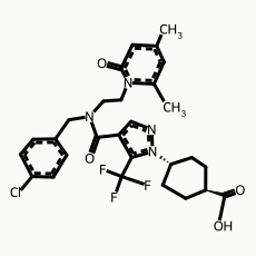 Cc1cc(C)n(CCN(Cc2ccc(Cl)cc2)C(=O)c2cnn([C@H]3CC[C@H](C(=O)O)CC3)c2C(F)(F)F)c(=O)c1